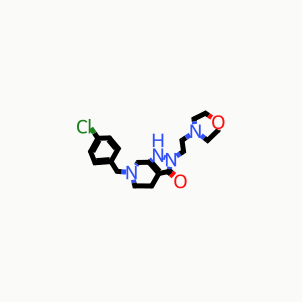 O=c1c2c([nH]n1CCN1CCOCC1)CN(Cc1ccc(Cl)cc1)CC2